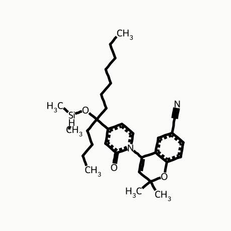 CCCCCCCC(CCCC)(O[SiH](C)C)c1ccn(C2=CC(C)(C)Oc3ccc(C#N)cc32)c(=O)c1